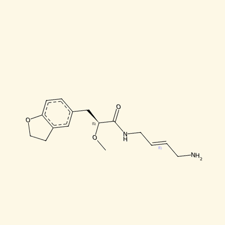 CO[C@@H](Cc1ccc2c(c1)CCO2)C(=O)NC/C=C/CN